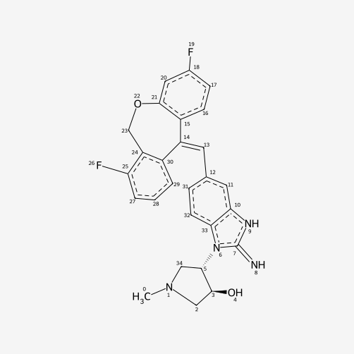 CN1C[C@H](O)[C@@H](n2c(=N)[nH]c3cc(/C=C4/c5ccc(F)cc5OCc5c(F)cccc54)ccc32)C1